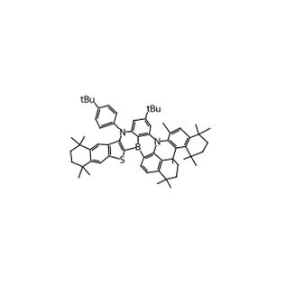 Cc1cc2c(c3c1N1c4cc(C(C)(C)C)cc5c4B(c4ccc6c(c41)C3(C)CCC6(C)C)c1sc3cc4c(cc3c1N5c1ccc(C(C)(C)C)cc1)C(C)(C)CCC4(C)C)C(C)(C)CCC2(C)C